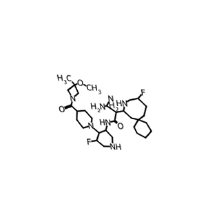 COC1(C)CN(C(=O)C2CCN(C3C(F)CNCC3NC(=O)C(C(N)N)C3CC4(CCCCC4)CCC(F)CN3)CC2)C1